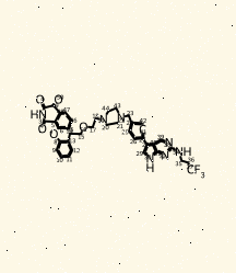 O=C1NC(=O)c2c(Oc3ccccc3CCOCCN3CCN(Cc4ccc(-c5c[nH]c6nc(NCCC(F)(F)F)ncc56)cc4)CC3)cccc2C1=O